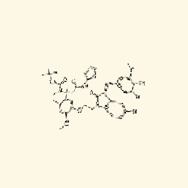 COc1cc2c(cc1OCCN1C(=O)C(=Cc3cc(Br)c(O)c(OC)c3)c3cc(Br)ccc31)C(C)(CC(=O)Nc1nccs1)N(C(=O)OC(C)(C)C)CC2